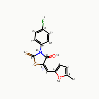 Cc1ccc(/C=C2/SC(=S)N(c3ccc(F)cc3)C2=O)o1